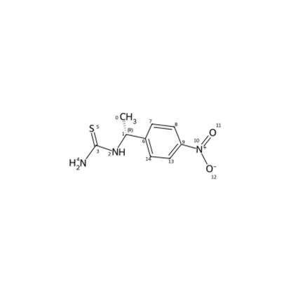 C[C@@H](NC(N)=S)c1ccc([N+](=O)[O-])cc1